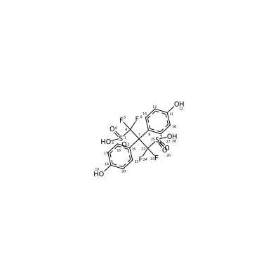 O=S(=O)(O)C(F)(F)C(c1ccc(O)cc1)(c1ccc(O)cc1)C(F)(F)S(=O)(=O)O